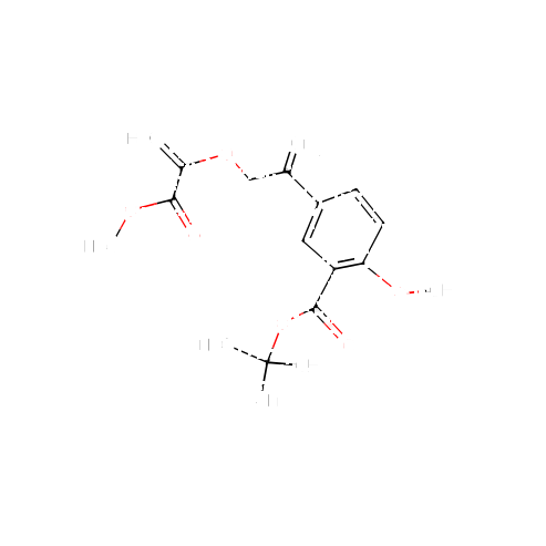 C=C(OCC(=C)c1ccc(OC)c(C(=O)OC(C)(C)C)c1)C(=O)OC